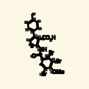 COc1c(Br)cc(C(=O)Nc2scc(-c3ccc(C)cc3)c2C(=O)O)c(Br)c1Br